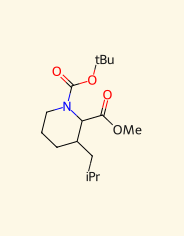 COC(=O)C1C(CC(C)C)CCCN1C(=O)OC(C)(C)C